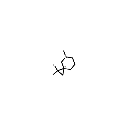 CN1CCC[C@@]2(C1)CC2(F)F